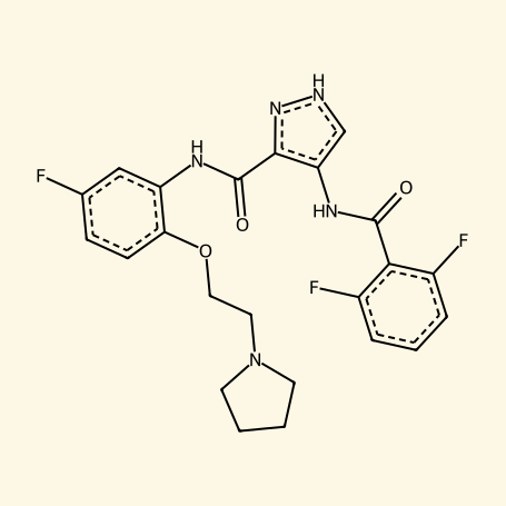 O=C(Nc1cc(F)ccc1OCCN1CCCC1)c1n[nH]cc1NC(=O)c1c(F)cccc1F